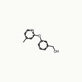 Cc1ccnc(Oc2cccc(CO)c2)c1